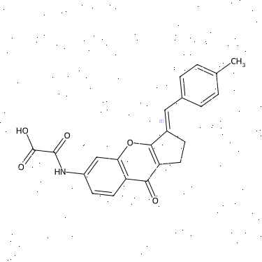 Cc1ccc(/C=C2\CCc3c2oc2cc(NC(=O)C(=O)O)ccc2c3=O)cc1